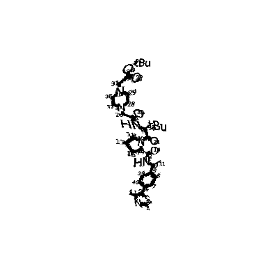 Cc1ncsc1-c1ccc([C@H](C)NC(=O)[C@@H]2CCCN2C(=O)[C@@H](NC(=O)CN2CCN(CC(=O)OC(C)(C)C)CC2)C(C)(C)C)cc1